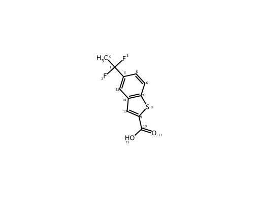 CC(F)(F)c1ccc2sc(C(=O)O)cc2c1